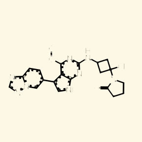 COc1nc(NC2CC(C)(N3CCCC3=O)C2)nc2[nH]cc(-c3ccc4ncnn4c3)c12